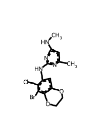 CNc1cc(C)nc(Nc2cc3c(c(Br)c2Cl)OCCO3)n1